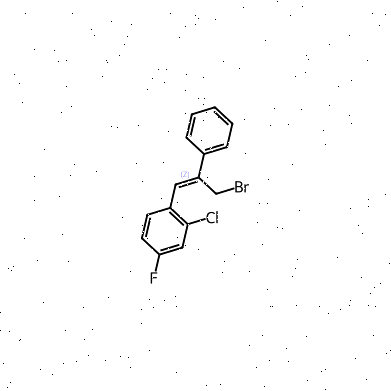 Fc1ccc(/C=C(\CBr)c2ccccc2)c(Cl)c1